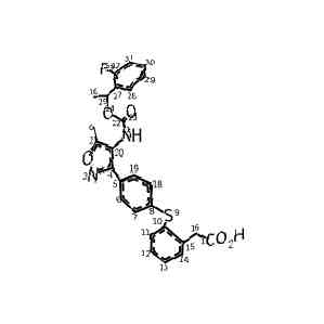 Cc1onc(-c2ccc(Sc3ccccc3CC(=O)O)cc2)c1NC(=O)OC(C)c1ccccc1F